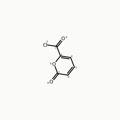 O=C(Cl)c1cccc(=O)o1